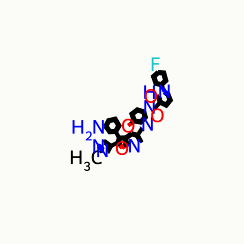 Cn1cc(-c2oc3ncc(C#N)c(Oc4ccc(NC(=O)c5cccn(-c6ccc(F)cc6)c5=O)cc4)c3c2-c2cccc(N)c2)cn1